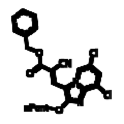 CCCCCOc1nc2c(Cl)cc(Cl)cn2c1C=C(C#N)C(=O)OCc1ccccc1